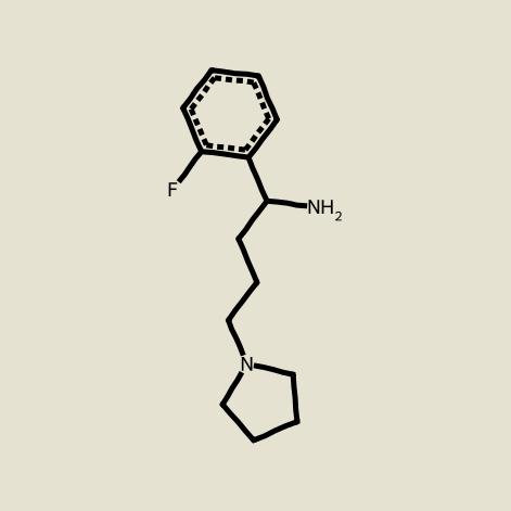 NC(CCCN1CCCC1)c1ccccc1F